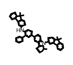 CC1CC=Cc2c1n(-c1ccc3c(c1)-c1ccccc1C3(C)C)c1ccc(-c3ccc(Nc4ccc5c(c4)-c4ccccc4C5(C)C)c(-c4ccccc4)c3)cc21